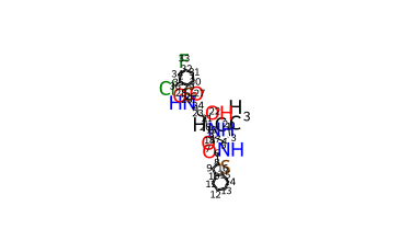 CC(C)C[C@H](NC(=O)c1cc2ccccc2s1)C(=O)NC[C@@H](O)CCNS(=O)(=O)c1ccc(F)cc1Cl